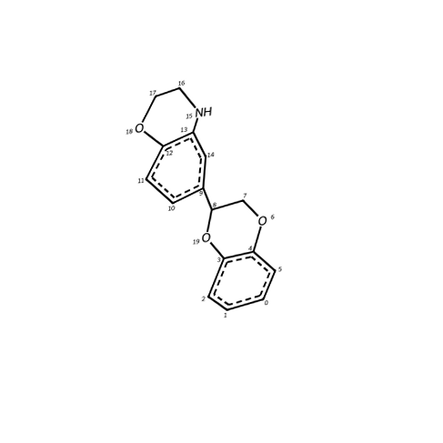 c1ccc2c(c1)OCC(c1ccc3c(c1)NCCO3)O2